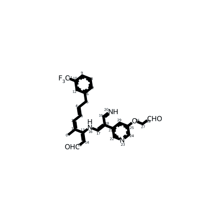 CC(=C/C=C/Cc1cccc(C(F)(F)F)c1)/C(=C\C=O)N/C=C(\C=N)c1cncc(OCC=O)c1